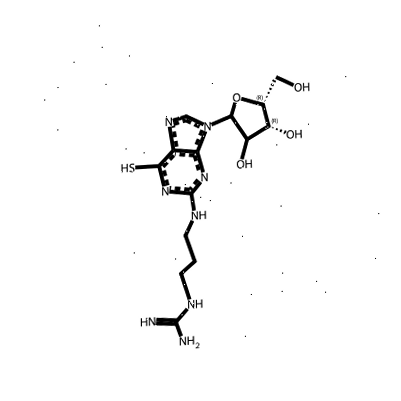 N=C(N)NCCCNc1nc(S)c2ncn(C3O[C@H](CO)[C@H](O)C3O)c2n1